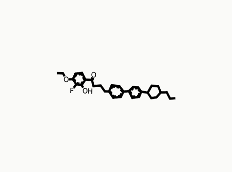 CCCC1CCC(c2ccc(-c3ccc(CCCC(=O)c4ccc(OCC)c(F)c4O)cc3)cc2)CC1